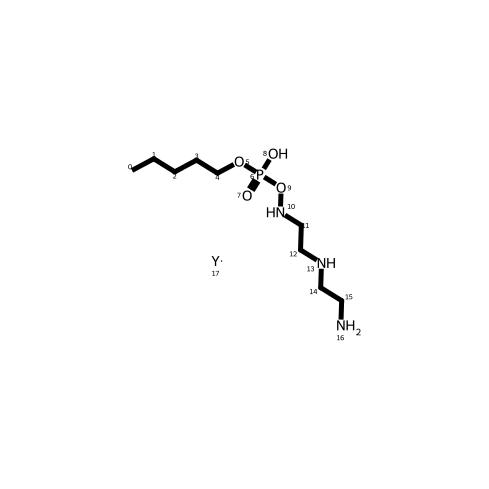 CCCCCOP(=O)(O)ONCCNCCN.[Y]